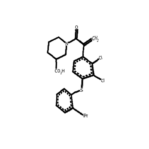 C=C(C(=O)N1CCCC(C(=O)O)C1)c1ccc(Sc2ccccc2C(C)C)c(Cl)c1Cl